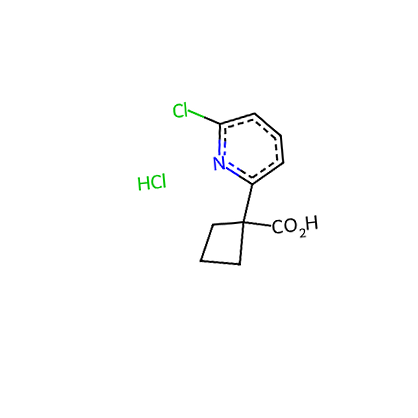 Cl.O=C(O)C1(c2cccc(Cl)n2)CCC1